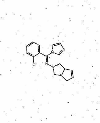 Clc1ccccc1C(=NN1CC2C=CCC2C1)n1ccnc1